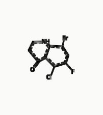 O=c1cc[nH]c2c(Br)cc(F)c(Cl)c12